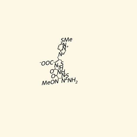 CO/N=C(\C(=O)N[C@@H]1C(=O)N2C(C(=O)[O-])=C(Cn3cc[n+]4nc(SC)ccc34)CS[C@H]12)c1nsc(N)n1